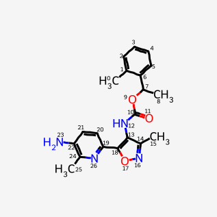 Cc1ccccc1C(C)OC(=O)Nc1c(C)noc1-c1ccc(N)c(C)n1